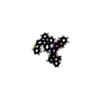 CC1(C)c2ccccc2-c2ccc(N(c3ccc(-c4ccccc4)cc3)c3ccc4c(c3)C3(c5ccccc5-c5ccc(N(c6ccccc6)c6ccc(-c7ccccc7)cc6)cc53)c3ccc5sc6ccccc6c5c3-4)cc21